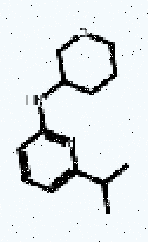 CC(C)c1cccc(NC2CCCOC2)n1